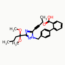 CCC#Cc1nc(C(CCC)(OC)OC)nn1Cc1ccc(-c2ccccc2C(=O)O)cc1